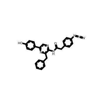 [N-]=[N+]=Nc1ccc(CC(=O)Nc2ncc(-c3ccc(O)cc3)nc2Cc2ccccc2)cc1